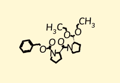 CCOC(OCC)[C@@H]1CCCN1C(=O)[C@H]1CCCN1C(=O)OCc1ccccc1